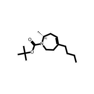 CCCCC1=CC[C@@H](C)N(C(=O)OC(C)(C)C)CC1